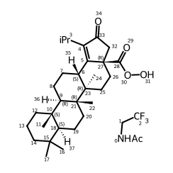 CC(=O)NCC(F)(F)F.CC(C)C1=C2[C@H]3CC[C@@H]4[C@@]5(C)CCCC(C)(C)[C@@H]5CC[C@@]4(C)[C@]3(C)CC[C@@]2(C(=O)OO)CC1=O